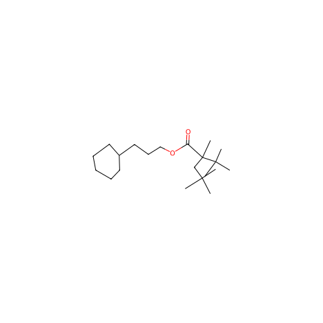 CC(C)(C)CC(C)(C(=O)OCCCC1CCCCC1)C(C)(C)C